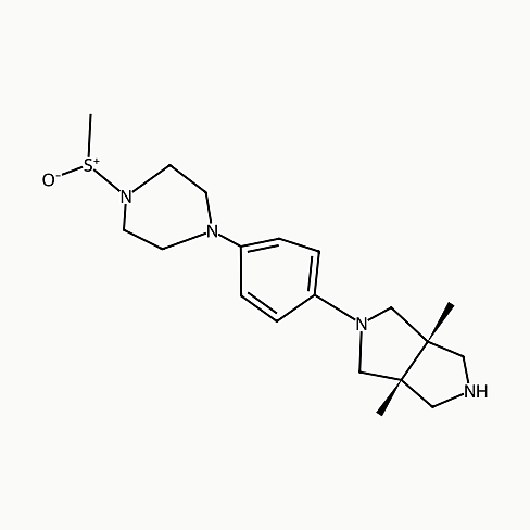 C[S+]([O-])N1CCN(c2ccc(N3C[C@]4(C)CNC[C@]4(C)C3)cc2)CC1